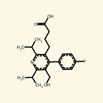 CC(C)c1nc(C(C)C)c(CCCC(=O)O)c(-c2ccc(F)cc2)c1CO